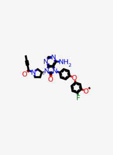 CC#CC(=O)N1CC[C@@H](n2c(=O)n(-c3ccc(Oc4ccc(F)c(OC)c4)cc3)c3c(N)ncnc32)C1